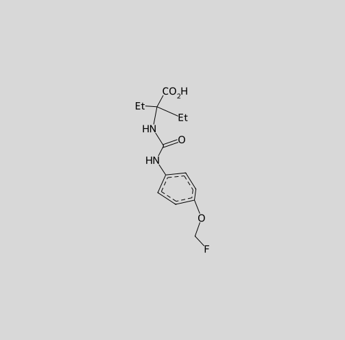 CCC(CC)(NC(=O)Nc1ccc(OCF)cc1)C(=O)O